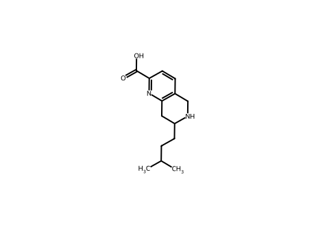 CC(C)CCC1Cc2nc(C(=O)O)ccc2CN1